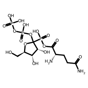 NC(=O)CC[C@H](N)C(=O)OP(=O)(O)C1(OP(=O)(O)OP(=O)(O)O)O[C@H](CO)[C@@H](O)[C@H]1O